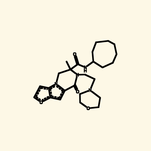 CC1(C(=O)NC2CCCCCCC2)Cn2c(cc3occc32)C(=O)N1CCN1CCOCC1